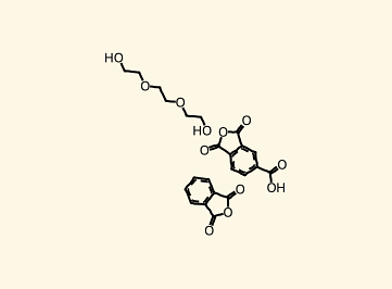 O=C(O)c1ccc2c(c1)C(=O)OC2=O.O=C1OC(=O)c2ccccc21.OCCOCCOCCO